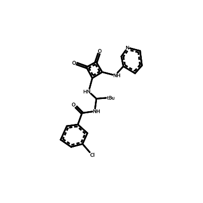 CC(C)(C)C(NC(=O)c1cccc(Cl)c1)Nc1c(Nc2cccnc2)c(=O)c1=O